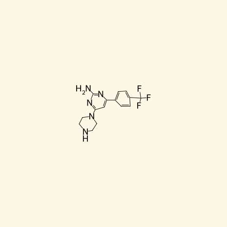 Nc1nc(-c2ccc(C(F)(F)F)cc2)cc(N2CCNCC2)n1